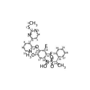 CSc1nccc(-c2cccnc2Oc2c(C)cc(N(O)S(=O)(=O)C(C)c3ccccc3)c(F)c2F)n1